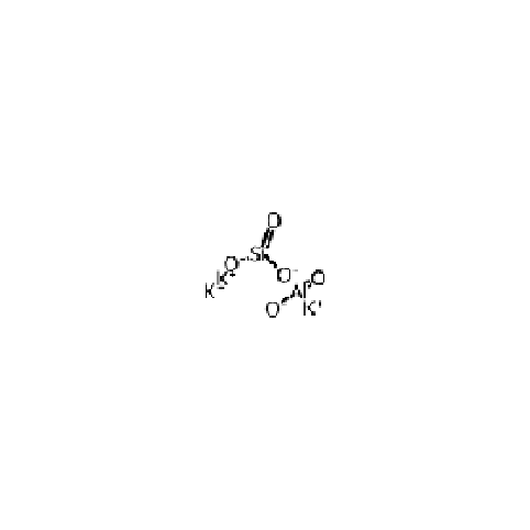 O=[Si]([O-])[O-].[K+].[K+].[K+].[O]=[Al][O-]